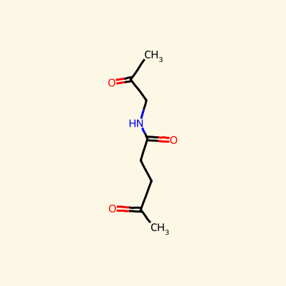 CC(=O)CCC(=O)NCC(C)=O